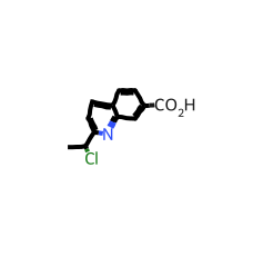 CC(Cl)c1ccc2ccc(C(=O)O)cc2n1